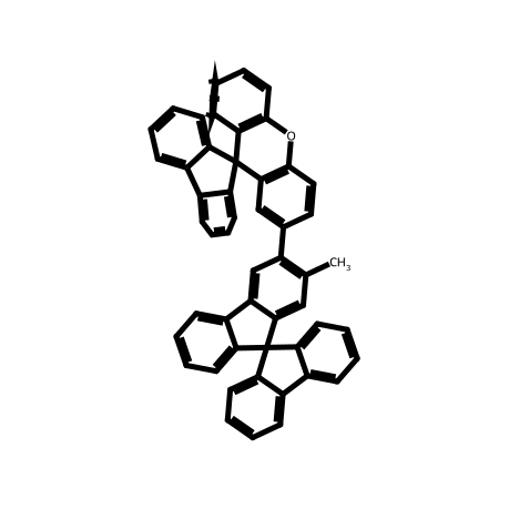 Cc1cc2c(cc1-c1ccc3c(c1)C1(c4ccccc4-c4ccccc41)c1c(ccc4ccccc14)O3)-c1ccccc1C21c2ccccc2-c2ccccc21